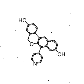 Oc1ccc2c(c1)COc1c-2cc2ccc(O)cc2c1-c1ccncc1